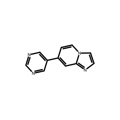 c1ncc(-c2ccn3ccnc3c2)cn1